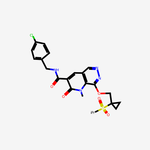 CC(C)S(=O)(=O)C1(COc2nncc3cc(C(=O)NCc4ccc(Cl)cc4)c(=O)n(C)c23)CC1